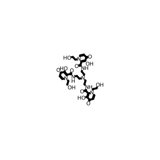 O=C(NCCN(CCNC(=O)c1c(O)c(=O)ccn1CCO)CCNC(=O)c1c(O)c(=O)ccn1CCO)c1c(O)c(=O)ccn1CCO